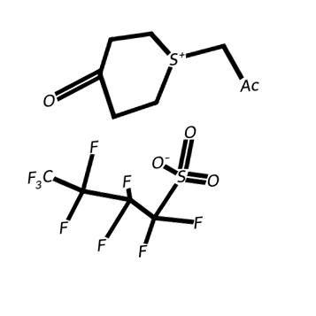 CC(=O)C[S+]1CCC(=O)CC1.O=S(=O)([O-])C(F)(F)C(F)(F)C(F)(F)C(F)(F)F